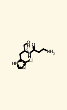 NCCC(=O)N[C@H](CO)Cc1[nH]cnc1Cl